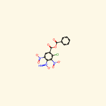 N=[N+]([O-])c1c([N+](=O)[O-])cc(C(=O)OC(=O)c2ccccc2)c(Cl)c1[N+](=O)[O-]